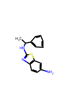 CC(Nc1nc2[c]cc(N)cc2s1)c1ccccc1